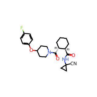 N#CC1(NC(=O)[C@@H]2CCCC[C@H]2C(=O)N2CCC(Oc3ccc(F)cc3)CC2)CC1